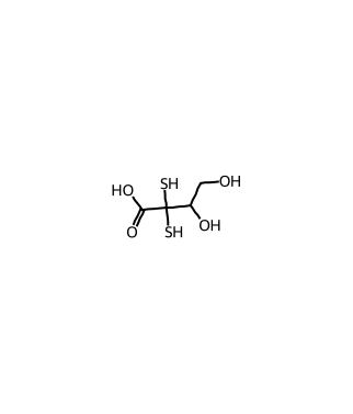 O=C(O)C(S)(S)C(O)CO